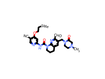 CSCCOc1cc(NC(=O)N2CCCc3cc(CN4CCN(C)CC4=O)c(C=O)nc32)ncc1C#N